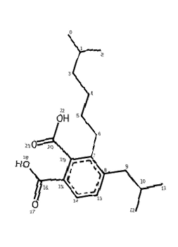 CC(C)CCCCc1c(CC(C)C)ccc(C(=O)O)c1C(=O)O